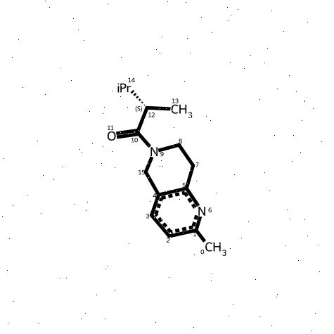 Cc1ccc2c(n1)CCN(C(=O)[C@@H](C)C(C)C)C2